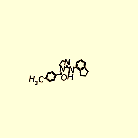 Cc1ccc(C(=O)N2CCN=C2Nc2cccc3c2CCC3)cc1